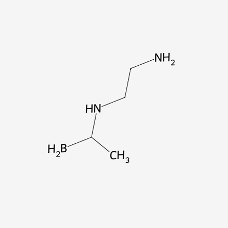 BC(C)NCCN